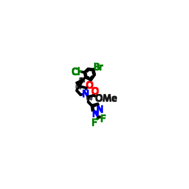 COC(=O)[C@@H](Cc1cnn(C(F)F)c1)N1CC[C@]2(C[C@H]2c2ccc(Br)cc2Cl)C1=O